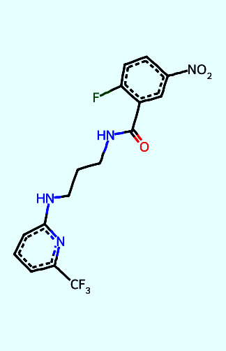 O=C(NCCCNc1cccc(C(F)(F)F)n1)c1cc([N+](=O)[O-])ccc1F